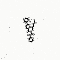 C=C(/C=C\C(N)=C(/C)N(CCCCCC)C(=O)Nc1cnccn1)c1cnccc1C